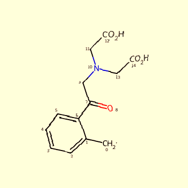 [CH2]c1ccccc1C(=O)CN(CC(=O)O)CC(=O)O